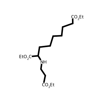 CCOC(=O)CCCCCCC(NCCC(=O)OCC)C(=O)OCC